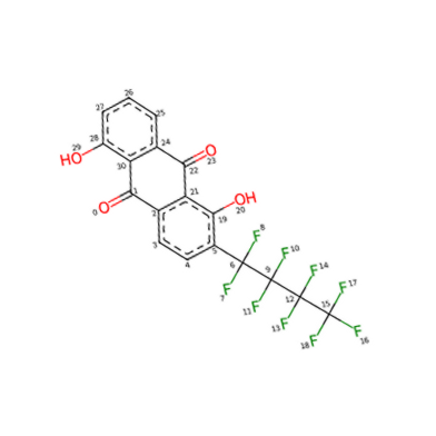 O=C1c2ccc(C(F)(F)C(F)(F)C(F)(F)C(F)(F)F)c(O)c2C(=O)c2cccc(O)c21